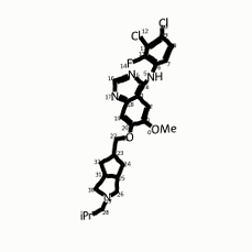 COc1cc2c(Nc3ccc(Cl)c(Cl)c3F)ncnc2cc1OCC1CC2CN(CC(C)C)CC2C1